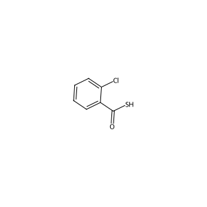 O=C(S)c1ccccc1Cl